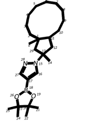 CC12CCCCCCCCCC1CC(C)(n1cc(B3OC(C)(C)C(C)(C)O3)cn1)C2